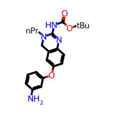 CCCN1Cc2cc(Oc3cccc(N)c3)ccc2N=C1NC(=O)OC(C)(C)C